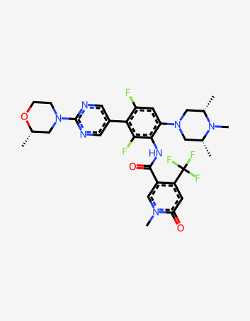 C[C@@H]1CN(c2cc(F)c(-c3cnc(N4CCO[C@@H](C)C4)nc3)c(F)c2NC(=O)c2cn(C)c(=O)cc2C(F)(F)F)C[C@H](C)N1C